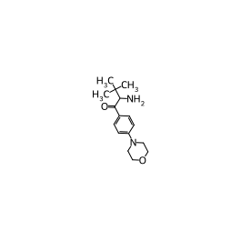 CC(C)(C)C(N)C(=O)c1ccc(N2CCOCC2)cc1